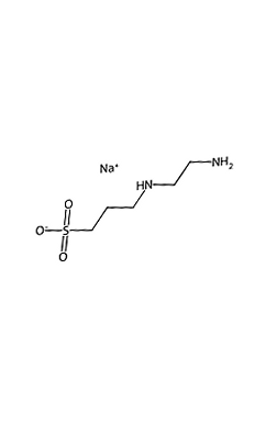 NCCNCCCS(=O)(=O)[O-].[Na+]